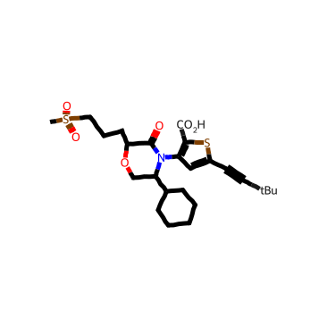 CC(C)(C)C#Cc1cc(N2C(=O)C(CCCS(C)(=O)=O)OCC2C2CCCCC2)c(C(=O)O)s1